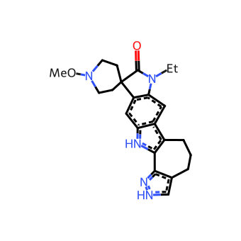 CCN1C(=O)C2(CCN(OC)CC2)c2cc3[nH]c4c(c3cc21)CCCc1c[nH]nc1-4